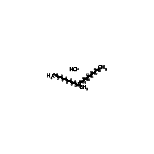 CCCCCCCCCCCN(C)CCCCCCCCCCC.Cl